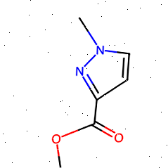 COC(=O)c1ccn(C)n1